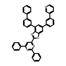 c1ccc(-c2cccc(-c3cc(-c4cccc(-c5cccnc5)c4)cc4oc(-c5cc(-c6ccccc6)nc(-c6ccccc6)n5)nc34)c2)cc1